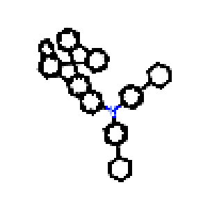 c1ccc2c(c1)-c1ccccc1C21c2cc3cc(N(c4ccc(C5CCCCC5)cc4)c4ccc(C5CCCCC5)cc4)ccc3cc2-c2ccc3ccccc3c21